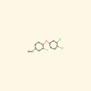 COc1ccc(Oc2ccc(Cl)c(Cl)c2)c(F)c1